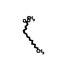 CCCCCCCCCC/C=C\CCCC(=O)OC